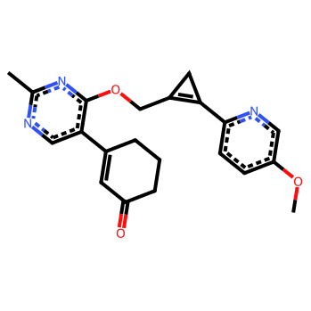 COc1ccc(C2=C(COc3nc(C)ncc3C3=CC(=O)CCC3)C2)nc1